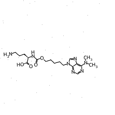 CN(C)c1ncnc2c1ncn2CCCCCOC(=O)N[C@H](CCCN)C(=O)O